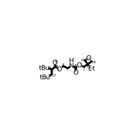 CCC1(COC(=O)NCCOC(=O)C(CC(C)(C)C)C(C)(C)C)COC1